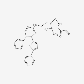 CC1(C)C(C(=O)C=O)NCN1CCNc1ncc(-c2ccccc2)c(-c2ccc(-c3ccccc3)s2)n1